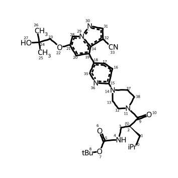 CC(C)C[C@@H](CNC(=O)OC(C)(C)C)C(=O)N1CCN(c2ccc(-c3cc(OCC(C)(C)O)cn4ncc(C#N)c34)cn2)CC1